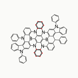 c1ccc(C2c3cccc4c3B3c5c(c6c7c(c5N(c5ccccc5)c5cc8c(c2c53)c2ccccc2n8-c2ccccc2)N(c2ccccc2)c2cccc3c2B7c2c(cc5c(c2N3c2ccccc2)c2ccccc2n5-c2ccccc2)N6c2ccccc2)N4c2ccccc2)cc1